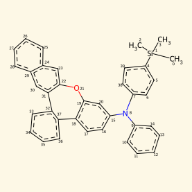 C[Si](C)(C)c1ccc(N(c2ccccc2)c2ccc3c(c2)Oc2cc4ccccc4cc2-c2ccccc2-3)cc1